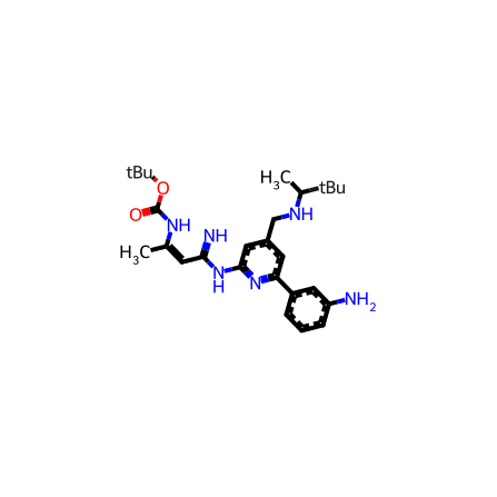 C/C(=C/C(=N)Nc1cc(CNC(C)C(C)(C)C)cc(-c2cccc(N)c2)n1)NC(=O)OC(C)(C)C